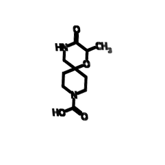 CC1OC2(CCN(C(=O)O)CC2)CNC1=O